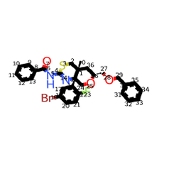 C[C@]12CSC(NC(=O)c3ccccc3)=N[C@@]1(c1cc(Br)ccc1F)CO[C@@H](COCc1ccccc1)C2